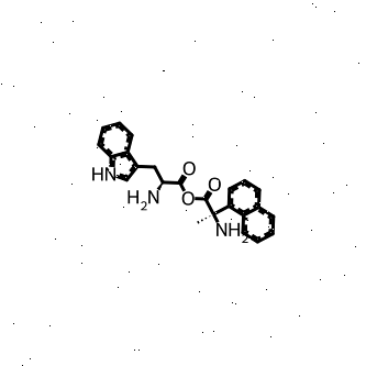 C[C@](N)(C(=O)OC(=O)[C@@H](N)Cc1c[nH]c2ccccc12)c1cccc2ccccc12